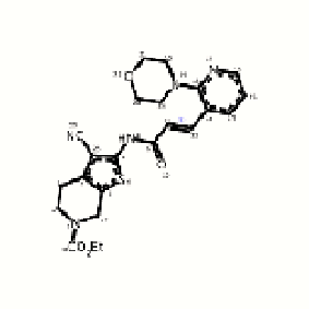 CCOC(=O)N1CCc2c(sc(NC(=O)/C=C/c3cccnc3N3CCOCC3)c2C#N)C1